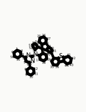 c1ccc(-c2cc(-c3ccccc3)nc(N3c4ccccc4C4(c5ccccc5-c5ccc(-c6cccc7c6sc6ccccc67)cc54)c4ccccc43)n2)cc1